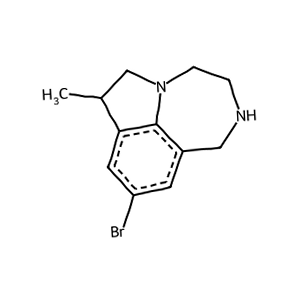 CC1CN2CCNCc3cc(Br)cc1c32